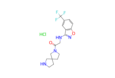 Cl.O=C(CNc1noc2ccc(C(F)(F)F)cc12)N1CCC2(CCNC2)C1